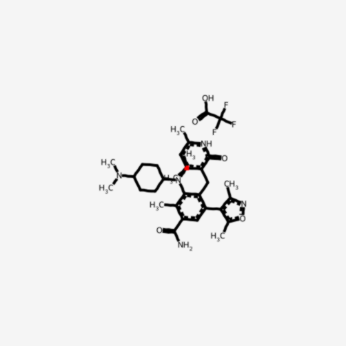 CCN(c1c(C)c(C(N)=O)cc(-c2c(C)noc2C)c1Cc1c(C)cc(C)[nH]c1=O)C1CCC(N(C)C)CC1.O=C(O)C(F)(F)F